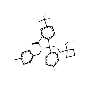 CC(C)(O)c1ccc2c(c1)C(=O)N(Cc1ccc(Cl)cc1)[C@@]2(OCC1(CO)CCC1)c1ccc(Cl)cc1